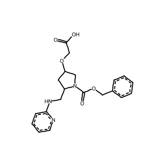 O=C(O)COC1CC(CNc2ccccn2)N(C(=O)OCc2ccccc2)C1